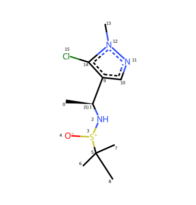 C[C@H](N[S+]([O-])C(C)(C)C)c1cnn(C)c1Cl